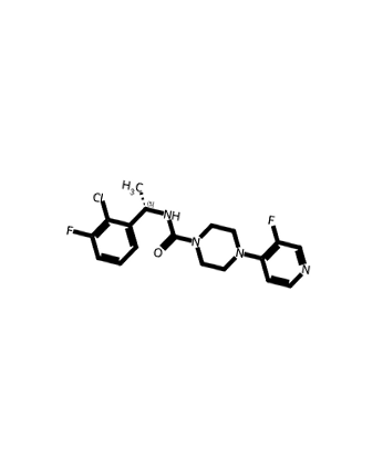 C[C@H](NC(=O)N1CCN(c2ccncc2F)CC1)c1cccc(F)c1Cl